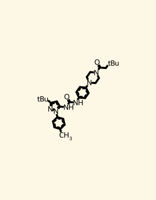 Cc1ccc(-n2nc(C(C)(C)C)cc2NC(=O)Nc2ccc(N3CCN(C(=O)CC(C)(C)C)CC3)cc2)cc1